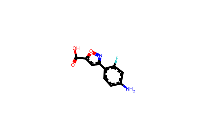 Nc1ccc(-c2cc(C(=O)O)on2)c(F)c1